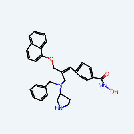 O=C(NO)c1ccc(/C=C(/COc2cccc3ccccc23)CN(Cc2ccccc2)C2CCNC2)cc1